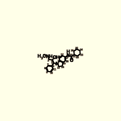 CNCC(O)C(c1ccccc1)N1CCc2cc(NC(=O)C3CCCCC3)ccc21